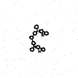 Cn1c2ccccc2c2ccc(N(c3ccccc3)c3ccc(-c4cccc(-c5ccc(N(c6ccccc6)c6ccc7c8ccccc8n(C)c7c6)cc5)c4)cc3)cc21